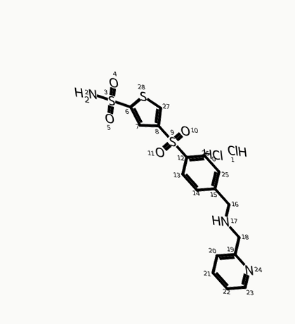 Cl.Cl.NS(=O)(=O)c1cc(S(=O)(=O)c2ccc(CNCc3ccccn3)cc2)cs1